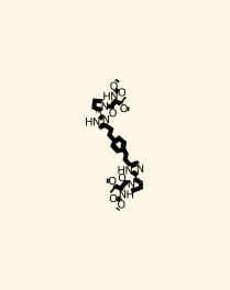 COC(=O)N[C@H](C(=O)N1CCC[C@H]1c1nc(CCc2ccc(CCc3cnc([C@@H]4CCCN4C(=O)[C@@H](NC(=O)OC)[C@@H](C)OC)[nH]3)cc2)c[nH]1)[C@@H](C)OC